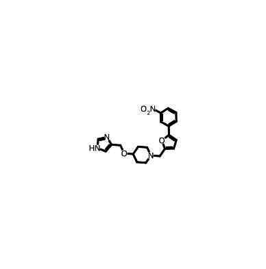 O=[N+]([O-])c1cccc(-c2ccc(CN3CCC(OCc4c[nH]cn4)CC3)o2)c1